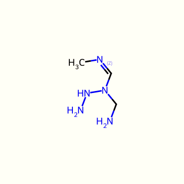 C/N=C\N(CN)NN